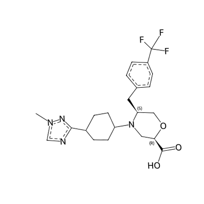 Cn1cnc(C2CCC(N3C[C@H](C(=O)O)OC[C@@H]3Cc3ccc(C(F)(F)F)cc3)CC2)n1